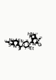 CC[C@H]1CN(C(C)c2ccc3nc(C)sc3n2)[C@H](CC)CN1c1nc(=O)n(C)c2c[nH]nc12